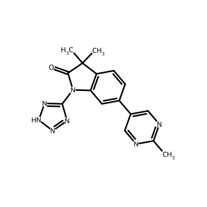 Cc1ncc(-c2ccc3c(c2)N(c2nn[nH]n2)C(=O)C3(C)C)cn1